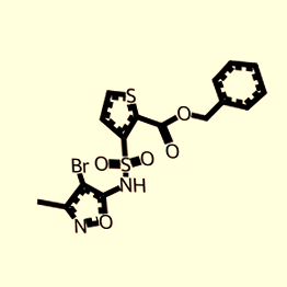 Cc1noc(NS(=O)(=O)c2ccsc2C(=O)OCc2ccccc2)c1Br